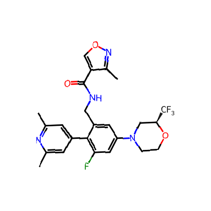 Cc1cc(-c2c(F)cc(N3CCO[C@H](C(F)(F)F)C3)cc2CNC(=O)c2conc2C)cc(C)n1